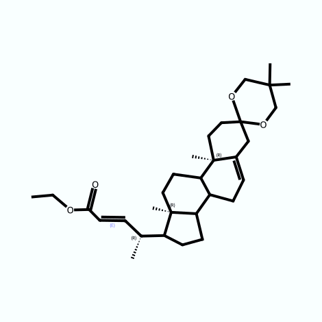 CCOC(=O)/C=C/[C@@H](C)C1CCC2C3CC=C4CC5(CC[C@]4(C)C3CC[C@@]21C)OCC(C)(C)CO5